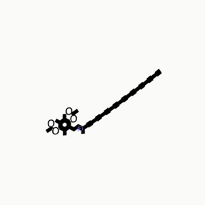 C#CC#CC#CC#CC#CC#CC#CC#CC#C/C(C)=C/Cc1c(C)c(OC(C)=O)c(C)c(C)c1OC(C)=O